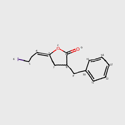 O=C1O/C(=C/CI)CC1Cc1ccccc1